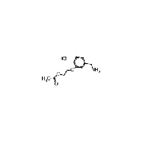 CC(=O)OCCOc1cccc(CN)c1.Cl